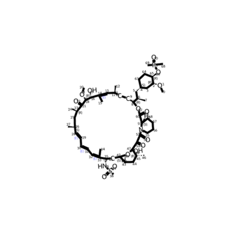 CO[C@@H]1C[C@H](C[C@@H](C)[C@@H]2CC[C@H](C)/C=C(\C)[C@@H](O)[C@@H](OC)C(=O)[C@H](C)C[C@H](C)/C=C/C=C/C=C(\C)[C@@H](NS(C)(=O)=O)C[C@@H]3CC[C@@H](C)[C@@](O)(O3)C(=O)C(=O)N3CCCC[C@H]3C(=O)O2)CC[C@H]1OP(C)(C)=O